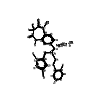 CCN1C(=O)C(C)(C)C(=O)N(C)c2cc(CN(CCc3cnccc3C)Cc3cc(C)nn3C)ccc21.Cl.Cl.Cl